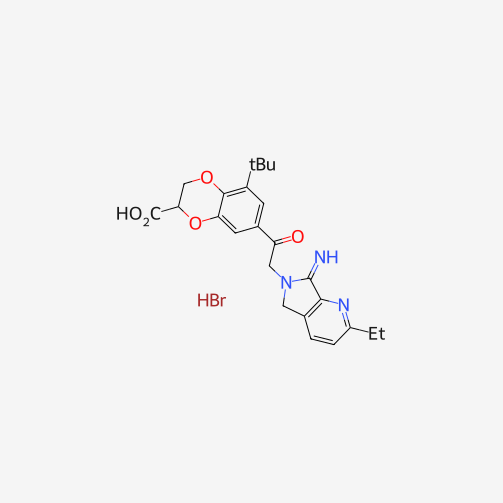 Br.CCc1ccc2c(n1)C(=N)N(CC(=O)c1cc3c(c(C(C)(C)C)c1)OCC(C(=O)O)O3)C2